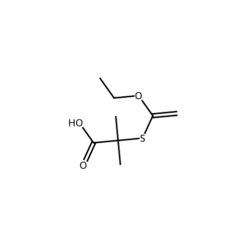 C=C(OCC)SC(C)(C)C(=O)O